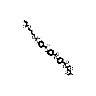 C=CC(=O)OCCCCOC(=O)Oc1ccc(C(=O)Oc2ccc(C(=O)Oc3ccc(C(=O)OC4COC5C4OC[C@@H]5C)cc3)cc2)cc1